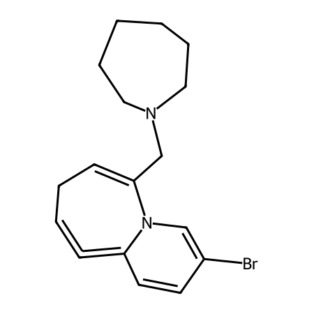 BrC1=CN2C(=C=CCC=C2CN2CCCCCC2)C=C1